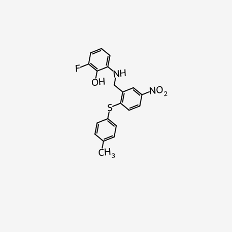 Cc1ccc(Sc2ccc([N+](=O)[O-])cc2CNc2cccc(F)c2O)cc1